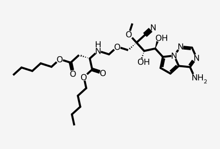 CCCCCOC(=O)C[C@H](NCOC[C@@](C#N)(OC)[C@@H](O)[C@@H](O)c1ccc2c(N)ncnn12)C(=O)OCCCCC